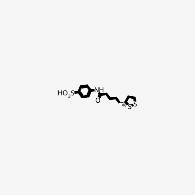 O=C(CCCC[C@@H]1CCSS1)Nc1ccc(S(=O)(=O)O)cc1